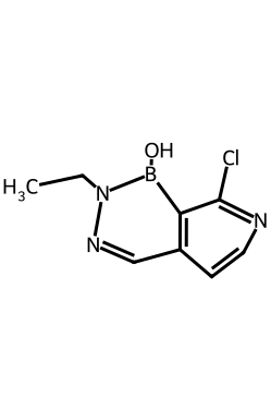 CCN1N=Cc2ccnc(Cl)c2B1O